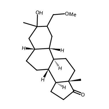 COCC1C[C@H]2[C@H](CC[C@@H]3[C@@H]2CC[C@]2(C)C(=O)CC[C@@H]32)CC1(C)O